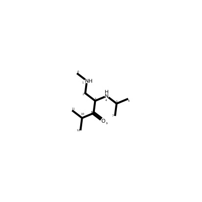 CNCC(NC(C)C)C(=O)C(C)C